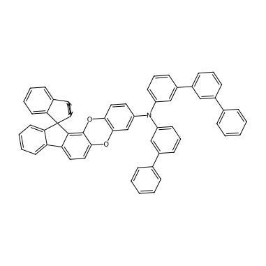 c1ccc(-c2cccc(-c3cccc(N(c4cccc(-c5ccccc5)c4)c4ccc5c(c4)Oc4ccc6c(c4O5)C4(c5ccccc5-c5ccccc54)c4ccccc4-6)c3)c2)cc1